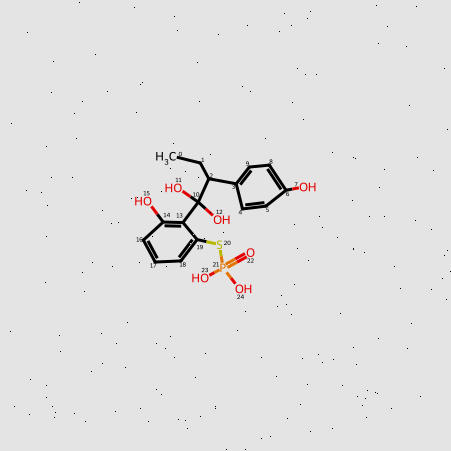 CCC(c1ccc(O)cc1)C(O)(O)c1c(O)cccc1SP(=O)(O)O